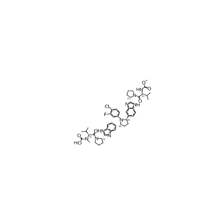 COC(=O)N[C@H](C(=O)N1CCC[C@H]1c1nc2cc([C@H]3CC[C@H](c4ccc5[nH]c([C@@H]6CCCN6C(=O)[C@H](C(C)C)N(C)C(=O)O)nc5c4)N3c3ccc(Cl)c(F)c3)ccc2[nH]1)C(C)C